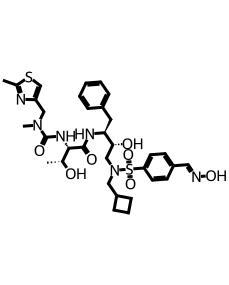 Cc1nc(CN(C)C(=O)N[C@H](C(=O)N[C@@H](Cc2ccccc2)[C@H](O)CN(CC2CCC2)S(=O)(=O)c2ccc(C=NO)cc2)[C@@H](C)O)cs1